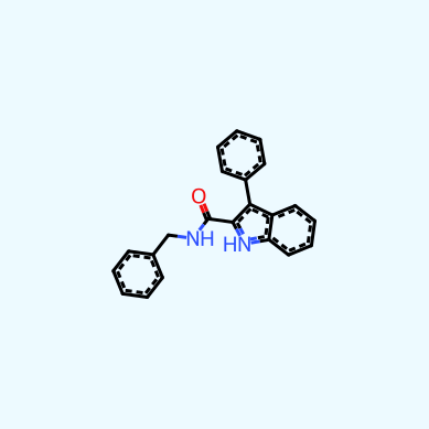 O=C(NCc1ccccc1)c1[nH]c2ccccc2c1-c1ccccc1